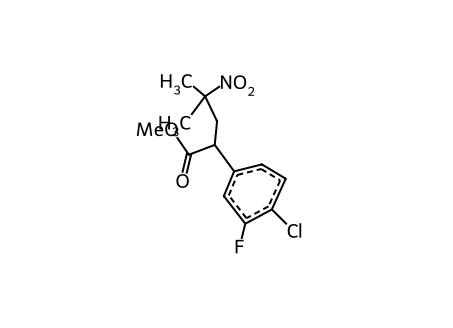 COC(=O)C(CC(C)(C)[N+](=O)[O-])c1ccc(Cl)c(F)c1